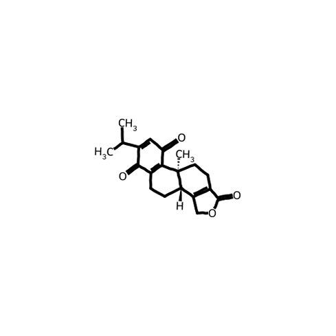 CC(C)C1=CC(=O)C2=C(CC[C@H]3C4=C(CC[C@]23C)C(=O)OC4)C1=O